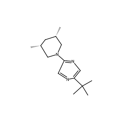 C[C@@H]1C[C@H](C)CN(c2cnc(C(C)(C)C)cn2)C1